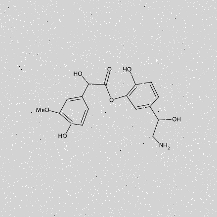 COc1cc(C(O)C(=O)Oc2cc(C(O)CN)ccc2O)ccc1O